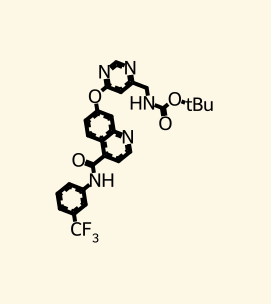 CC(C)(C)OC(=O)NCc1cc(Oc2ccc3c(C(=O)Nc4cccc(C(F)(F)F)c4)ccnc3c2)ncn1